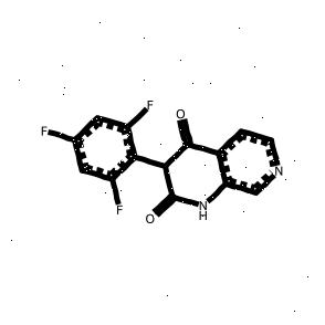 O=C1Nc2cnccc2C(=O)C1c1c(F)cc(F)cc1F